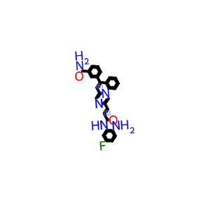 NC(=O)c1cccc(/C(=C/c2cnc(/C=C/C(=O)Nc3cc(F)ccc3N)cn2)c2ccccc2)c1